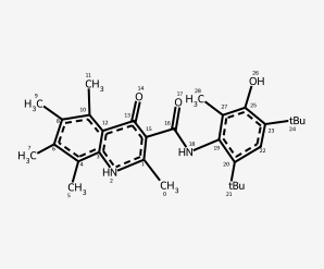 Cc1[nH]c2c(C)c(C)c(C)c(C)c2c(=O)c1C(=O)Nc1c(C(C)(C)C)cc(C(C)(C)C)c(O)c1C